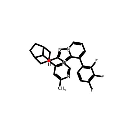 Cc1cc(N2CC3CCC(C2)C3Nc2nc3c(-c4ccc(F)c(F)c4F)cccn3n2)ncn1